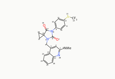 CNc1cc(CN2C(=O)N(c3ccc(SC(F)(F)F)cc3)C(=O)C23CC3)c2ccccc2n1